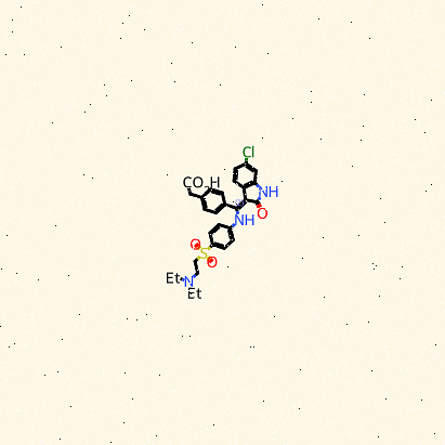 CCN(CC)CCS(=O)(=O)c1ccc(N/C(=C2\C(=O)Nc3cc(Cl)ccc32)c2ccc(CC(=O)O)cc2)cc1